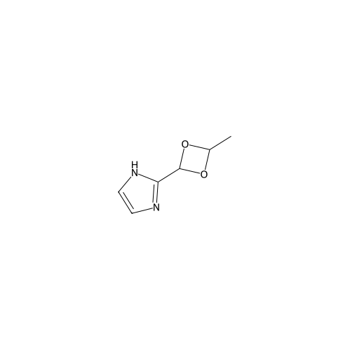 CC1OC(c2ncc[nH]2)O1